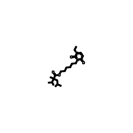 CCn1ccc(=O)n(CCCCCCOC(=O)C(C)(CC(C)C)C(C)C)c1=O